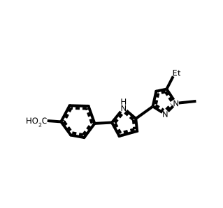 CCc1cc(-c2ccc(-c3ccc(C(=O)O)cc3)[nH]2)nn1C